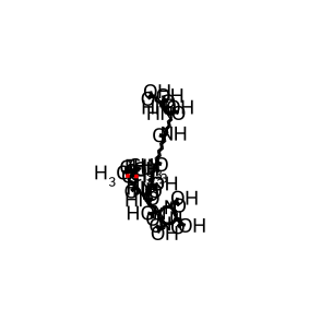 CC(C)(C)S(F)(c1ccc(C(=O)NC[C@@H](NC(=O)CCC(C(=O)O)N2CCN(CC(=O)O)CCN(CC(=O)O)CCN(CC(=O)O)CC2)C(=O)N[C@H](CCCCNC(=O)CCCCCCC(=O)NCCCC[C@H](NC(=O)N[C@@H](CCC(=O)O)C(=O)O)C(=O)O)C(=O)O)cc1)C(C)(C)C